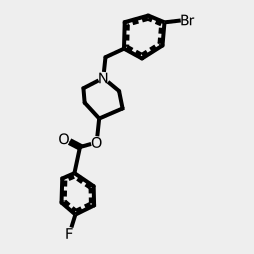 O=C(OC1CCN(Cc2ccc(Br)cc2)CC1)c1ccc(F)cc1